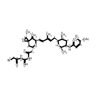 C=C1[C@@H](/C=C/C(C)=C/C[C@@H]2O[C@H](C)[C@H](NC(=O)/C=C\[C@H](C)OC(C)=O)C[C@@H]2C)O[C@H](CC(=O)NC(=N)NC(=O)CBr)C[C@]12O[C@@H]2C